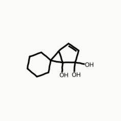 OC1(O)C=CC2C3(CCCCC3)C21O